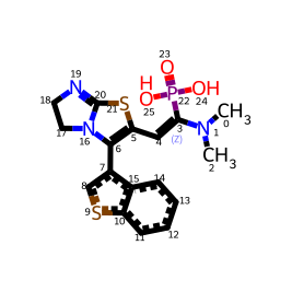 CN(C)/C(=C/C1=C(c2csc3ccccc23)N2CCN=C2S1)P(=O)(O)O